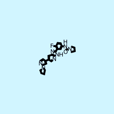 O=C(Nc1ccc(F)c(-c2nc3cc(-c4ccnc(N5CCCC5)c4)cnc3[nH]2)c1)N1CCCC1